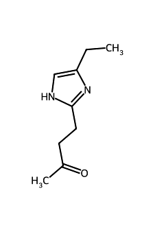 CCc1c[nH]c(CCC(C)=O)n1